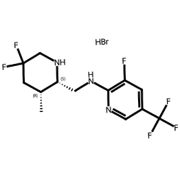 Br.C[C@@H]1CC(F)(F)CN[C@@H]1CNc1ncc(C(F)(F)F)cc1F